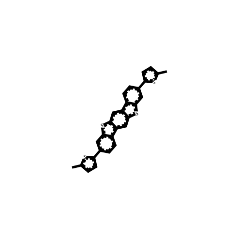 Cc1ccc(-c2ccc3c(c2)sc2cc4c(cc23)sc2cc(-c3ccc(C)s3)ccc24)s1